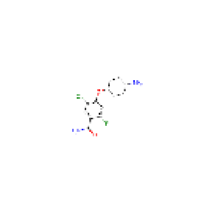 NC(=O)c1cc(Cl)c(OC2CCC(N)CC2)cc1F